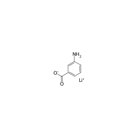 Nc1cccc(C(=O)[O-])c1.[Li+]